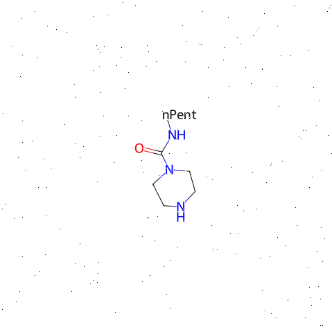 CCCCCNC(=O)N1CCNCC1